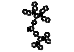 c1ccc2cc(N(c3cc(-c4ccc(-c5cncc(-c6ccc(-c7cc(-n8c9ccccc9c9ccccc98)cc(-n8c9ccccc9c9ccccc98)c7)cc6)c5)cc4)cc(N(c4ccc5ccccc5c4)c4ccc5ccccc5c4)c3)c3ccc4ccccc4c3)ccc2c1